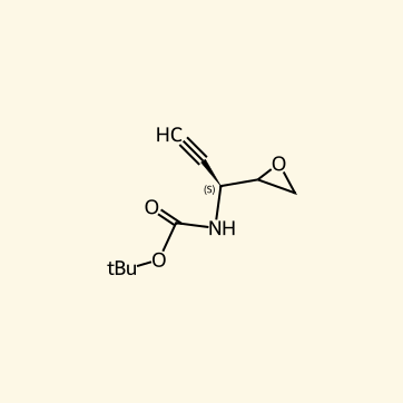 C#C[C@H](NC(=O)OC(C)(C)C)C1CO1